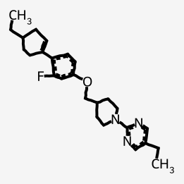 CCc1cnc(N2CCC(COc3ccc(C4=CCC(CC)CC4)c(F)c3)CC2)nc1